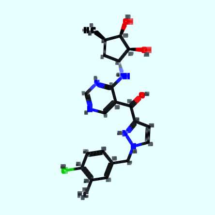 [CH2][C@@H]1C[C@@H](Nc2ncncc2C(=O)c2ccn(Cc3ccc(Cl)c(C(F)(F)F)c3)n2)[C@H](O)[C@@H]1O